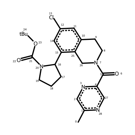 Cc1cnc(C(=O)N2CCc3cc(Cl)cc(C4CCCN4C(=O)OC(C)(C)C)c3C2)cn1